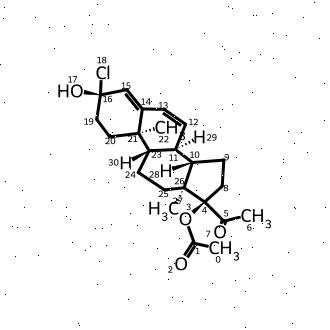 CC(=O)O[C@]1(C(C)=O)CC[C@H]2[C@@H]3C=CC4=C[C@@](O)(Cl)CC[C@]4(C)[C@H]3CC[C@@]21C